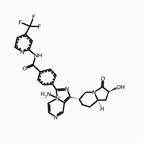 N[N+]12C=CN=CC1=C([C@H]1CC[C@@H]3C[C@H](O)C(=O)N3C1)N=C2c1ccc(C(=O)Nc2cc(C(F)(F)F)ccn2)cc1